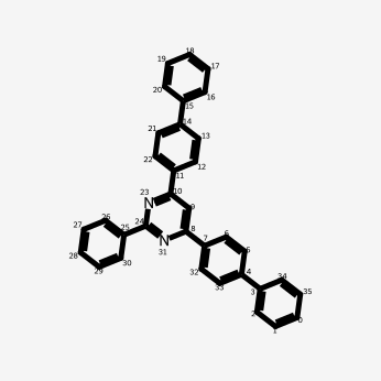 c1ccc(-c2ccc(-c3cc(-c4ccc(-c5ccccc5)cc4)nc(-c4ccccc4)n3)cc2)cc1